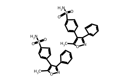 Cc1onc(-c2ccccc2)c1-c1ccc(S(N)(=O)=O)cc1.Cc1onc(-c2ccccc2)c1-c1ccc(S(N)(=O)=O)cc1